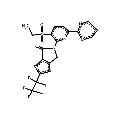 CCS(=O)(=O)c1ccc(-c2ncccn2)nc1N1Cc2cc(C(F)(F)C(F)(F)F)sc2C1=O